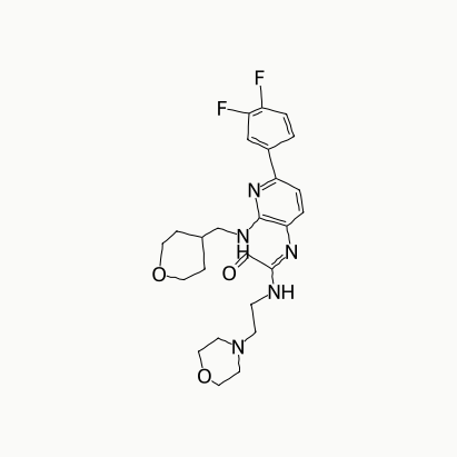 O=C/C(=N\c1ccc(-c2ccc(F)c(F)c2)nc1NCC1CCOCC1)NCCN1CCOCC1